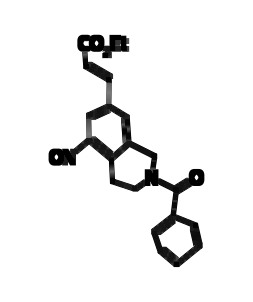 CCOC(=O)/C=C/c1cc2c(c(N=O)c1)CCN(C(=O)c1ccccc1)C2